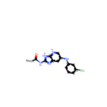 COC(=O)Nc1nc2cc(Nc3cccc(Cl)c3)cnc2[nH]1